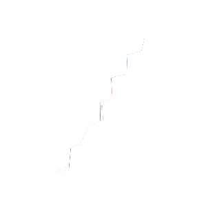 CCCOCOC=CCCCC=O